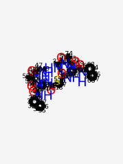 CN[C@@H](C)C(=O)N[C@H](C(=O)N1C[C@@H](NC(=O)c2ccc(C(=O)N[C@H]3C[C@@H](C(=O)N[C@@H]4CCCc5ccccc54)N(C(=O)[C@@H](NC(=O)[C@H](C)NC)C(C)(C)C)C3)s2)C[C@H]1C(=O)N[C@@H]1CCCc2ccccc21)C(C)(C)C